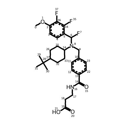 COc1ccc(C(F)N(Cc2ccc(C(=O)NCCC(=O)O)cc2)C2CCC(C(C)(C)C)CC2)c(F)c1F